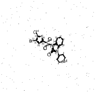 O=c1n(C2=CCNCC2)c2ccccc2n1S(=O)(=O)c1cc(Br)c(Cl)s1